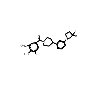 O=Cc1cc(C(=O)N2CCC(c3cccc(N4CCC(F)(F)C4)c3)CC2)cc(F)c1O